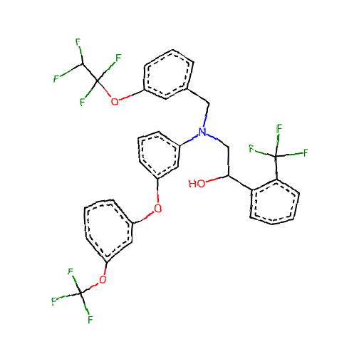 OC(CN(Cc1cccc(OC(F)(F)C(F)F)c1)c1cccc(Oc2cccc(OC(F)(F)F)c2)c1)c1ccccc1C(F)(F)F